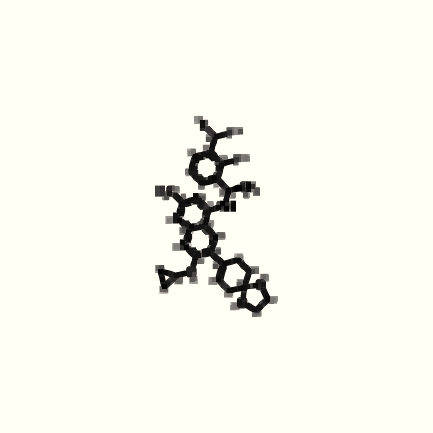 Cc1nc(N[C@H](C)c2cccc(C(F)F)c2F)c2cc(C3=CCC4(CC3)OCCO4)c(OC3CC3)nc2n1